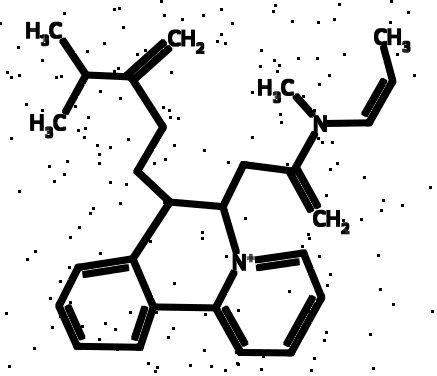 C=C(CCC1c2ccccc2-c2cccc[n+]2C1CC(=C)N(C)/C=C\C)C(C)C